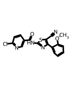 COc1ccccc1-c1nc(NC(=O)c2ccc(Cl)nc2)sc1C#N